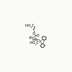 CC(C)[C@H](NCC1(C(=O)O)c2ccccc2-c2ccccc21)C(=O)OC/C=C/C(=O)O